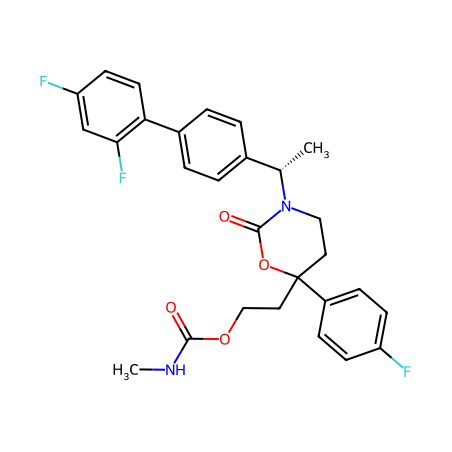 CNC(=O)OCCC1(c2ccc(F)cc2)CCN([C@@H](C)c2ccc(-c3ccc(F)cc3F)cc2)C(=O)O1